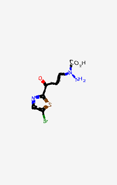 NN(CCC(=O)c1ncc(Br)s1)C(=O)O